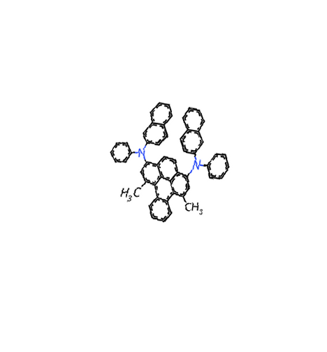 Cc1cc(N(c2ccccc2)c2ccc3ccccc3c2)c2ccc3c(N(c4ccccc4)c4ccc5ccccc5c4)cc(C)c4c5ccccc5c1c2c34